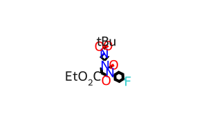 CCOC(=O)c1cn(C2CN(C(=O)OC(C)(C)C)C2)c(=O)n(-c2ccc(F)cc2)c1=O